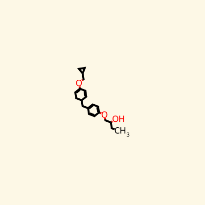 CCC(O)COc1ccc(CC2C=CC(OCC3CC3)=CC2)cc1